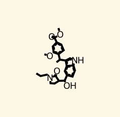 CCCN1CCC(C(O)c2ccc3[nH]cc(C(C)c4ccc(C(=O)OC)cc4OC)c3c2)C1=O